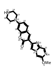 COc1cn2cc(-c3cc4ccc(N5CCNCC5)cc4oc3=O)nc2cn1